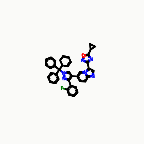 Fc1ccccc1-c1nn(C(c2ccccc2)(c2ccccc2)C2C=CC=CC2)cc1-c1ccc2ncc(-c3noc(C4CC4)n3)n2c1